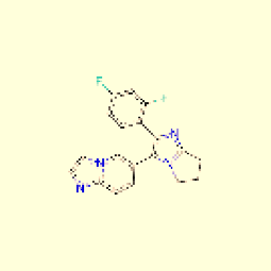 Fc1ccc(-c2nc3n(c2-c2ccc4nccn4c2)CCC3)c(F)c1